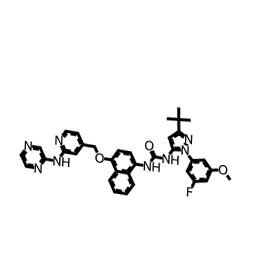 COc1cc(F)cc(-n2nc(C(C)(C)C)cc2NC(=O)Nc2ccc(OCc3ccnc(Nc4cnccn4)c3)c3ccccc23)c1